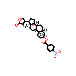 C[C@]12CC[C@H](OC(=O)c3ccc([N+](=O)[O-])cc3)C[C@H]1CC[C@@H]1[C@@H]2CC[C@]2(C)[C@@H](C3=CC(=O)OC3)CC[C@]12O